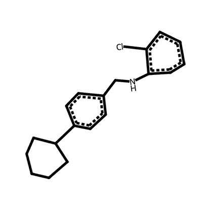 Clc1ccccc1NCc1ccc(C2CCCCC2)cc1